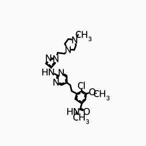 CNC(=O)c1cc(CCc2cnc(Nc3cnn(CCN4CCN(C)CC4)c3)nc2)c(Cl)c(OC)c1